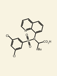 CCCCC(C(=O)O)N(c1cccc2cccnc12)S(=O)(=O)c1cc(Cl)cc(Cl)c1